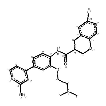 CN(C)CCOc1cc(-c2ccnc(N)n2)ccc1NC(=O)C1COc2ccc(Cl)cc2C1